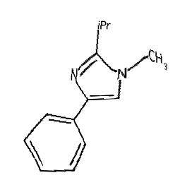 CC(C)c1nc(-c2ccccc2)cn1C